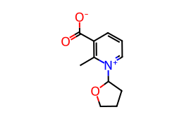 Cc1c(C(=O)[O-])ccc[n+]1C1CCCO1